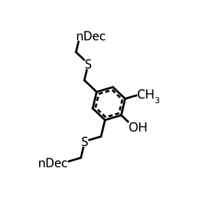 CCCCCCCCCCCSCc1cc(C)c(O)c(CSCCCCCCCCCCC)c1